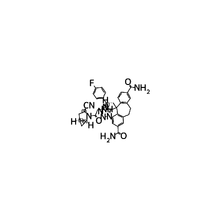 N#C[C@@H]1C[C@@H]2C[C@@H]2N1C(=O)CN[C@@H](CC1(c2nnn[nH]2)c2ccc(C(N)=O)cc2CCc2cc(C(N)=O)ccc21)c1ccc(F)cc1